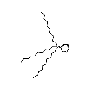 CCCCCCCCC[CH2][Sn]([CH2]CCCCCCCCC)([CH2]CCCCCCCCC)[c]1ccccc1